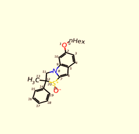 CCCCCCOc1ccc2cc3n(c2c1)CC(C)(c1ccccc1)[S+]3[O-]